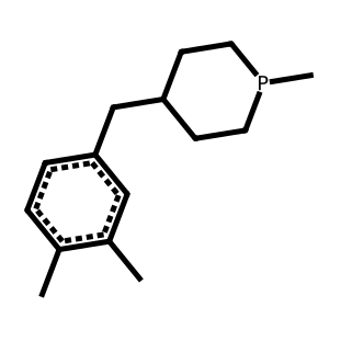 Cc1ccc(CC2CCP(C)CC2)cc1C